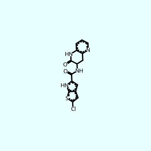 O=C(NC1Cc2ncccc2NC1=O)c1cc2cc(Cl)sc2[nH]1